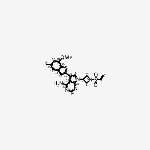 C=CS(=O)(=O)N1CC(n2cc(-c3cc4cc(C)cc(OC)c4s3)c3c(N)ncnc32)C1